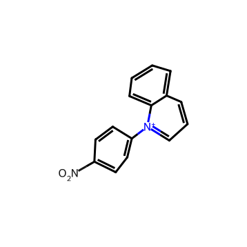 O=[N+]([O-])c1ccc(-[n+]2cccc3ccccc32)cc1